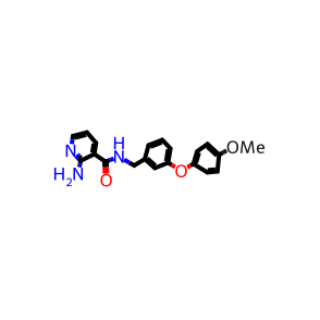 COc1ccc(Oc2cccc(CNC(=O)c3cccnc3N)c2)cc1